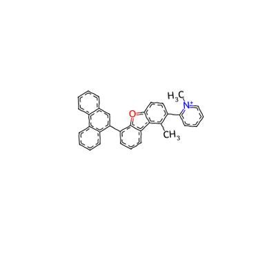 Cc1c(-c2cccc[n+]2C)ccc2oc3c(-c4cc5ccccc5c5ccccc45)cccc3c12